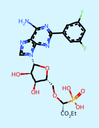 CCOC(=O)[C@H](OC[C@H]1O[C@@H](n2cnc3c(N)nc(-c4cc(F)cc(F)c4)nc32)[C@H](O)[C@@H]1O)P(=O)(O)O